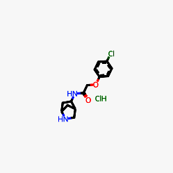 Cl.O=C(COc1ccc(Cl)cc1)NC1CC2CC1CN2